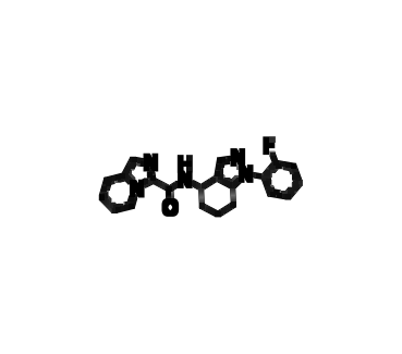 O=C(NC1CCCc2c1cnn2-c1ccccc1F)c1ncc2ccccn12